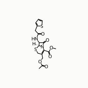 COC(=O)C1=C(COC(C)=O)CS[C@H]2C(NC(=O)Cc3cccs3)C(=O)N12